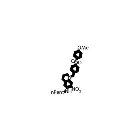 CCCCCNc1cc2c(cc1[N+](=O)[O-])N(Cc1ccc(S(=O)(=O)c3ccc(OC)cc3)cc1)CCC2